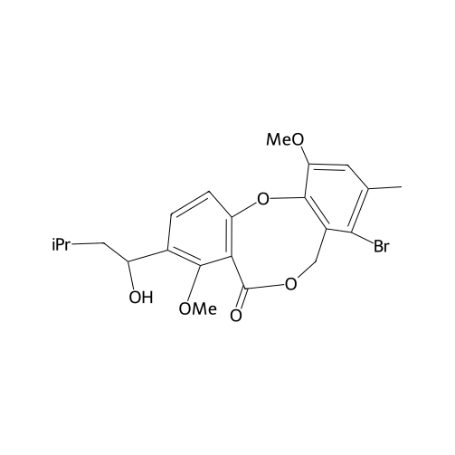 COc1cc(C)c(Br)c2c1Oc1ccc(C(O)CC(C)C)c(OC)c1C(=O)OC2